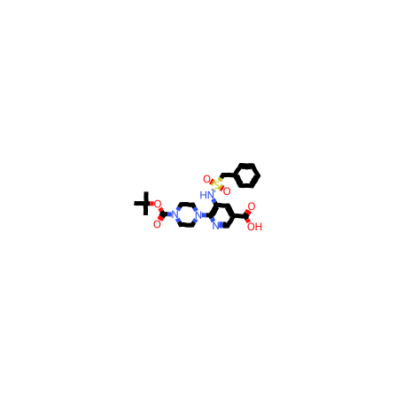 CC(C)(C)OC(=O)N1CCN(c2ncc(C(=O)O)cc2NS(=O)(=O)Cc2ccccc2)CC1